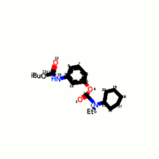 CCN(C(=O)Oc1cccc(NC(=O)OCC(C)C)c1)C1CCCCC1